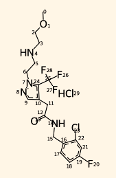 COCCNCCn1ncc(CC(=O)NCc2ccc(F)cc2Cl)c1C(F)(F)F.Cl